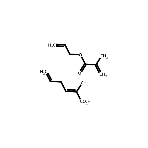 C=CCC=C(C)C(=O)O.C=CCOC(=O)C(=C)C